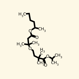 CCCCC(C)OC(=O)CC(C)(C)OCCC(C)(C)C(=O)OC(C)C